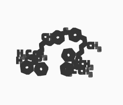 C[C@H](CCCO[Si](c1ccccc1)(c1ccccc1)C(C)(C)C)Cc1ccc(Sc2ccc(C[C@H](C)CCCO[Si](c3ccccc3)(c3ccccc3)C(C)(C)C)cc2)cc1